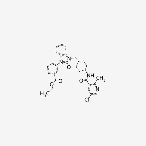 CCOC(=O)c1cccc(-n2c(=O)n(C[C@H]3CC[C@H](NC(=O)c4cc(Cl)cnc4C)CC3)c3ccccc32)c1